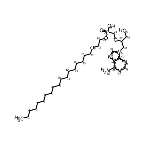 CCCCCCCCCCCCCCCCCCOCCOP(=O)(O)COC(CO)Cn1cnc2c(N)ncnc21